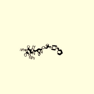 CCCn1c(=O)c2[nH]c(-c3cc(OCC(=O)N4CCN(Cc5ccccc5)CC4)nn3C)nc2n(CCC)c1=O